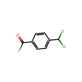 O=C(F)c1ccc(C(Cl)Cl)cc1